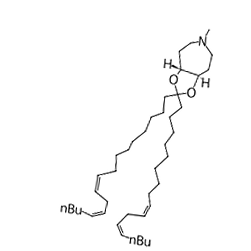 CCCC/C=C\C/C=C\CCCCCCCCC1(CCCCCCCC/C=C\C/C=C\CCCC)O[C@@H]2CCN(C)CC[C@H]2O1